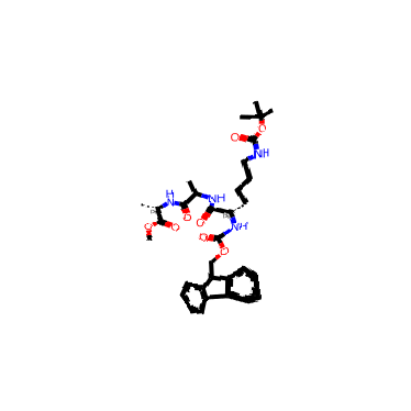 COC(=O)[C@H](C)NC(=O)C(C)NC(=O)[C@H](CCCCNC(=O)OC(C)(C)C)NC(=O)OCC1c2ccccc2-c2ccccc21